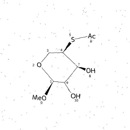 CO[C@H]1OC[C@@H](SC(C)=O)[C@@H](O)C1O